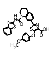 COc1ccc(Oc2sc(-c3ccc4c(c3)N(C(=O)Nc3nc5ccccc5s3)CCC4)nc2C(=O)O)cc1